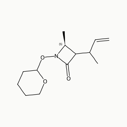 C=CC(C)C1C(=O)N(OC2CCCCO2)[C@H]1C